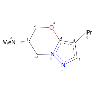 CN[C@@H]1COc2c(C(C)C)cnn2C1